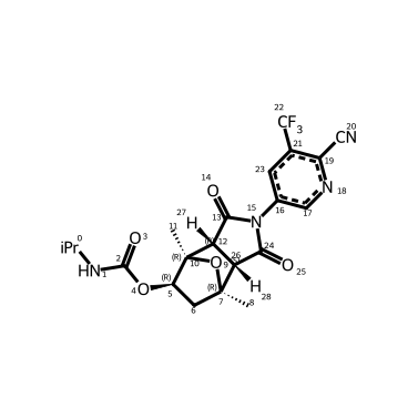 CC(C)NC(=O)O[C@@H]1C[C@@]2(C)O[C@]1(C)[C@@H]1C(=O)N(c3cnc(C#N)c(C(F)(F)F)c3)C(=O)[C@@H]12